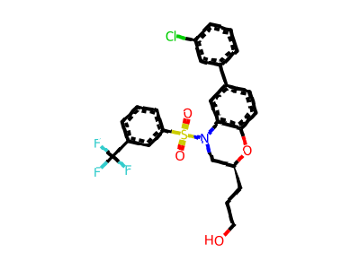 O=S(=O)(c1cccc(C(F)(F)F)c1)N1C[C@H](CCCO)Oc2ccc(-c3cccc(Cl)c3)cc21